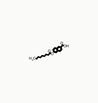 CCCCCCCCC(=O)Oc1ccc2cc(C(=O)O)ccc2c1